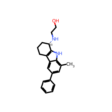 Cc1cc(-c2ccccc2)cc2c3c([nH]c12)[C@@H](NCCO)CCC3